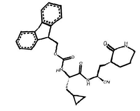 N#C[C@H](C[C@@H]1CCCNC1=O)NC(=O)[C@H](CC1CC1)NC(=O)OCC1c2ccccc2-c2ccccc21